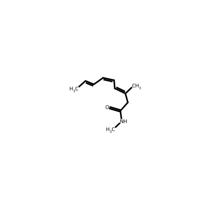 C/C=C/C=C\C=C(/C)CC(=O)NC